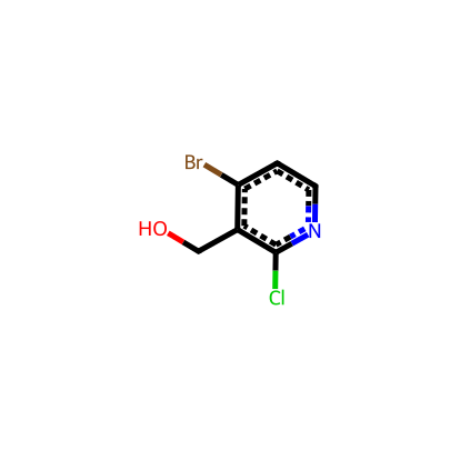 OCc1c(Br)ccnc1Cl